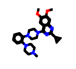 COc1cc2nc(C3CC3)nc(N3CCN(c4ccccc4N4CCN(C)CC4)CC3)c2cc1OC